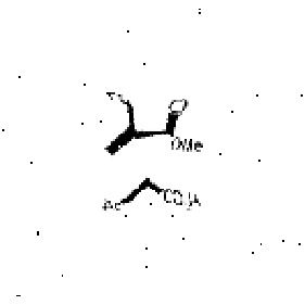 C=C(CC)C(=O)OC.CC(=O)CC(=O)O